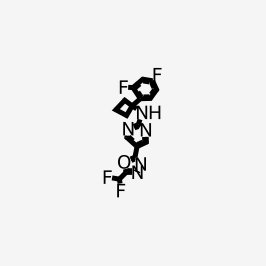 Fc1ccc(C2(Nc3ncc(-c4nnc(C(F)F)o4)cn3)CCC2)c(F)c1